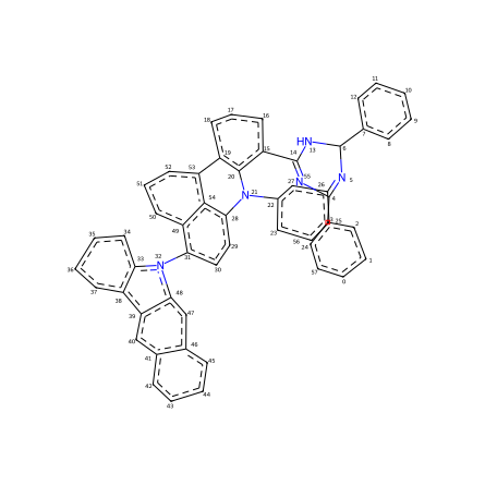 c1ccc(C2=NC(c3ccccc3)NC(c3cccc4c3N(c3ccccc3)c3ccc(-n5c6ccccc6c6cc7ccccc7cc65)c5cccc-4c35)=N2)cc1